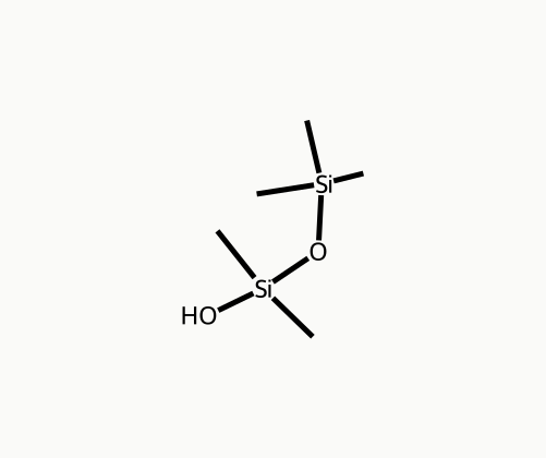 C[Si](C)(C)O[Si](C)(C)O